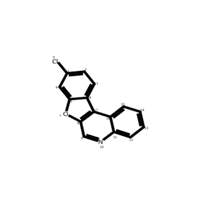 Clc1ccc2c(c1)oc1cnc3ccccc3c12